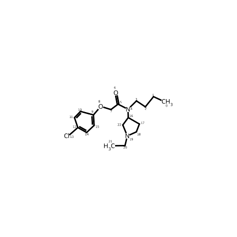 CCCCN(C(=O)COc1ccc(Cl)cc1)C1CCN(CC)C1